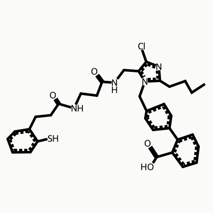 CCCCc1nc(Cl)c(CNC(=O)CCNC(=O)CCc2ccccc2S)n1Cc1ccc(-c2ccccc2C(=O)O)cc1